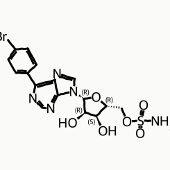 NS(=O)(=O)OC[C@H]1O[C@@H](n2cnc3c(-c4ccc(Br)cc4)ncnc32)[C@H](O)[C@@H]1O